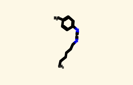 CCCCCCN=C=Nc1ccc(C)cc1